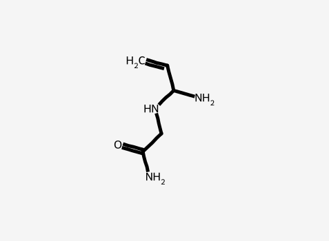 C=CC(N)NCC(N)=O